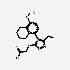 COc1ccc(-n2c(CF)nnc2SCC(=O)O)c2c1CCCC2